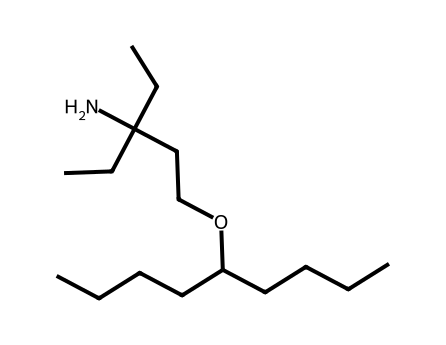 CCCCC(CCCC)OCCC(N)(CC)CC